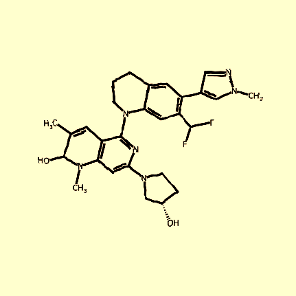 CC1=Cc2c(cc(N3CC[C@H](O)C3)nc2N2CCCc3cc(-c4cnn(C)c4)c(C(F)F)cc32)N(C)C1O